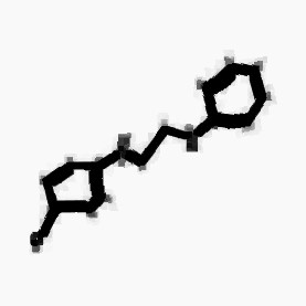 Clc1ccc(NCCNc2ccccc2)cc1